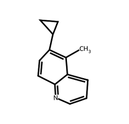 Cc1c(C2CC2)ccc2ncccc12